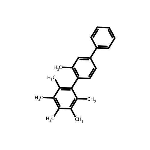 Cc1cc(-c2ccccc2)ccc1-c1c(C)c(C)c(C)c(C)c1C